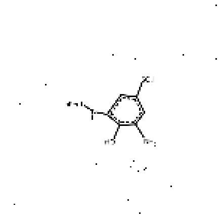 CCCCCNc1cc(S(=O)(=O)O)cc(N)c1O